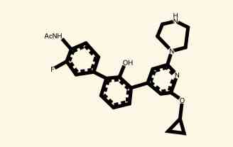 CC(=O)Nc1ccc(-c2cccc(-c3cc(OC4CC4)nc(N4CCNCC4)c3)c2O)cc1F